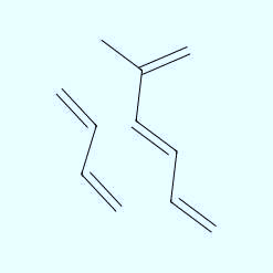 C=CC=C.C=CC=CC(=C)C